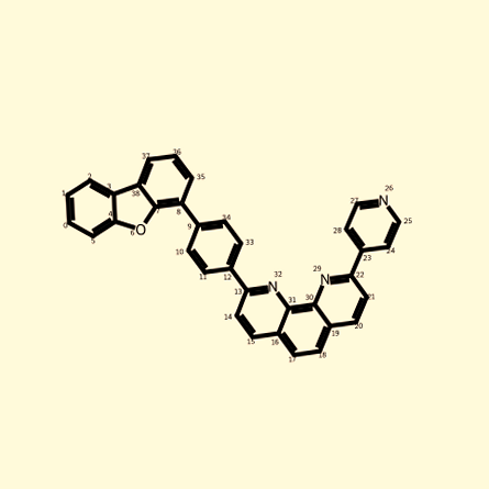 c1ccc2c(c1)oc1c(-c3ccc(-c4ccc5ccc6ccc(-c7ccncc7)nc6c5n4)cc3)cccc12